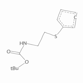 CC(C)(C)OC(=O)NCCSc1ccccc1